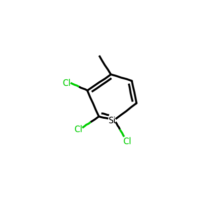 Cc1cc[si](Cl)c(Cl)c1Cl